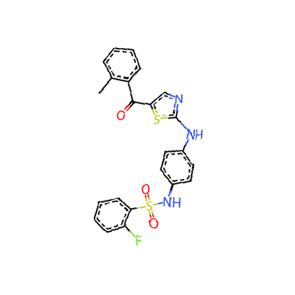 Cc1ccccc1C(=O)c1cnc(Nc2ccc(NS(=O)(=O)c3ccccc3F)cc2)s1